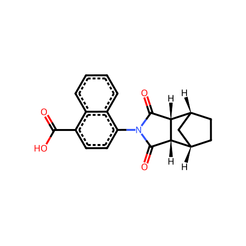 O=C(O)c1ccc(N2C(=O)[C@@H]3[C@@H]4CC[C@@H](C4)[C@@H]3C2=O)c2ccccc12